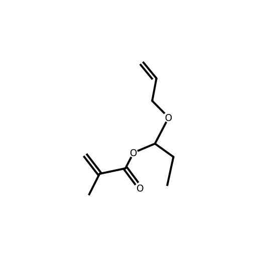 C=CCOC(CC)OC(=O)C(=C)C